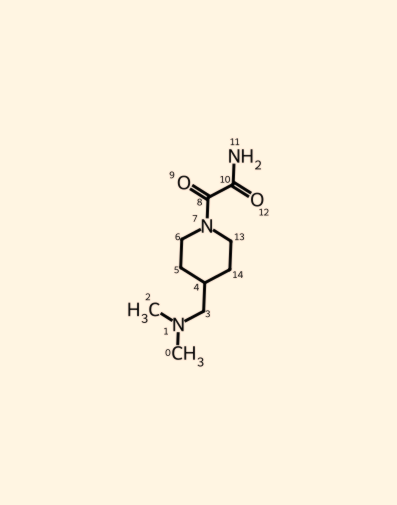 CN(C)CC1CCN(C(=O)C(N)=O)CC1